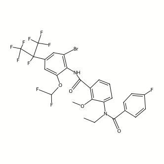 CCN(C(=O)c1ccc(F)cc1)c1cccc(C(=O)Nc2c(Br)cc(C(F)(C(F)(F)F)C(F)(F)F)cc2OC(F)F)c1OC